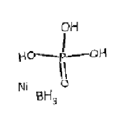 B.O=P(O)(O)O.[Ni]